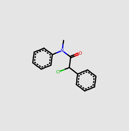 CN(C(=O)C(Cl)c1ccccc1)c1ccccc1